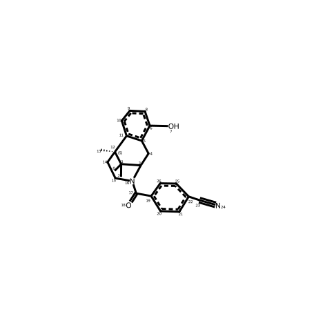 CC1(C)C2Cc3c(O)cccc3[C@]1(C)CCN2C(=O)c1ccc(C#N)cc1